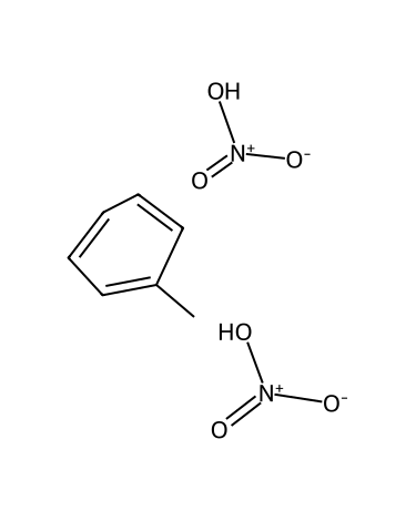 Cc1ccccc1.O=[N+]([O-])O.O=[N+]([O-])O